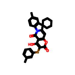 Cc1cccc(Sc2c(O)c3c(=O)n4c(cc3oc2=O)C2(CCCCC2)c2cc(C)ccc2-4)c1